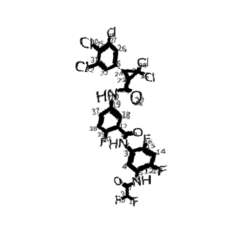 O=C(Nc1cc(NC(=O)C(F)F)c(F)cc1F)c1cc(NC(=O)C2[C@H](c3cc(Cl)c(Cl)c(Cl)c3)C2(Cl)Cl)ccc1F